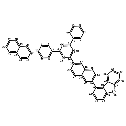 c1ccc(-c2nc(-c3ccc(-c4ccc5ccccc5c4)cc3)nc(-c3ccc4cc(-c5cccc6oc7ccccc7c56)ccc4c3)n2)cc1